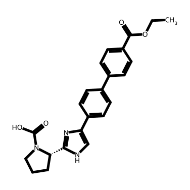 CCOC(=O)c1ccc(-c2ccc(-c3c[nH]c([C@@H]4CCCN4C(=O)O)n3)cc2)cc1